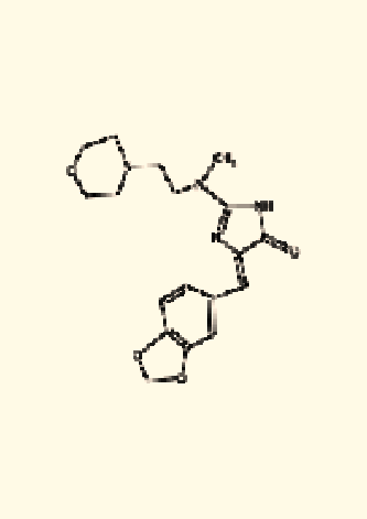 CN(CCN1CCOCC1)C1=N/C(=C\c2ccc3c(c2)OCO3)C(=O)N1